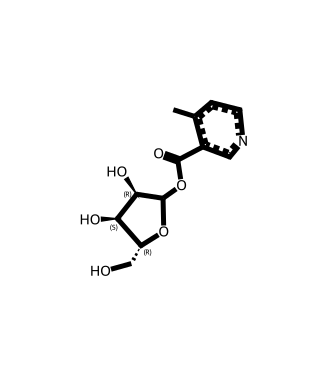 Cc1ccncc1C(=O)OC1O[C@H](CO)[C@@H](O)[C@H]1O